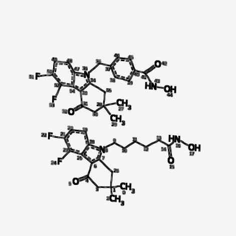 CC1(C)CC(=O)c2c(n(CCCCCC(=O)NO)c3ccc(F)c(F)c23)C1.CC1(C)CC(=O)c2c(n(Cc3ccc(C(=O)NO)cc3)c3ccc(F)c(F)c23)C1